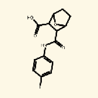 O=C(O)C1C2CCC(O2)C1C(=O)Nc1ccc(I)cc1